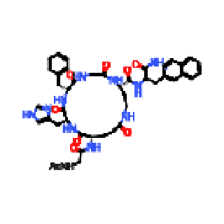 CC(=O)NCC(=O)N[C@H]1CCC(=O)NCC[C@@H](C(=O)N[C@H](Cc2ccc3ccccc3c2)C(N)=O)NC(=O)CNC(=O)[C@@H](Cc2ccccc2)NC(=O)[C@H](Cc2c[nH]cn2)NC1=O